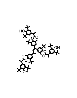 Cc1cc(C(C)CC(c2cc(C)c(OC(=O)C(C)c3cc(C(C)(C)C)c(O)c(C(C)(C)C)c3)c(C(C)(C)C)c2)c2cc(C)c(OC(=O)C(C)c3cc(C(C)(C)C)c(O)c(C(C)(C)C)c3)c(C(C)(C)C)c2)cc(C(C)(C)C)c1OC(=O)C(C)c1cc(C(C)(C)C)c(O)c(C(C)(C)C)c1